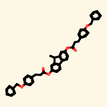 CC1c2cc(OC(=O)CCc3ccc(OCc4ccccc4)cc3)ccc2-c2ccc(OC(=O)CCc3ccc(OCc4ccccc4)cc3)cc21